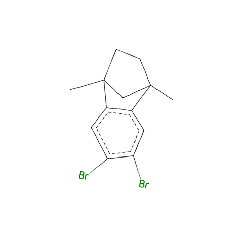 CC12CCC(C)(C1)c1cc(Br)c(Br)cc12